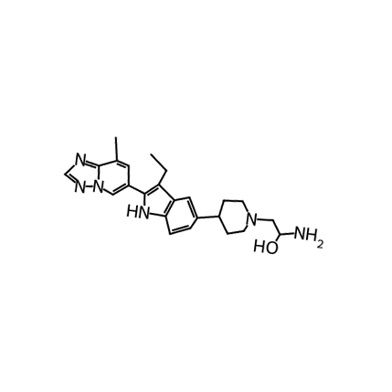 CCc1c(-c2cc(C)c3ncnn3c2)[nH]c2ccc(C3CCN(CC(N)O)CC3)cc12